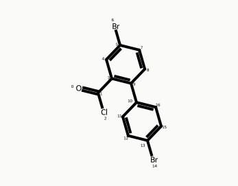 O=C(Cl)c1cc(Br)ccc1-c1ccc(Br)cc1